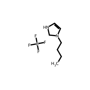 CCCCN1C=CNC1.F[B-](F)(F)F